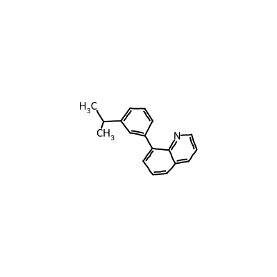 CC(C)c1cccc(-c2cccc3cccnc23)c1